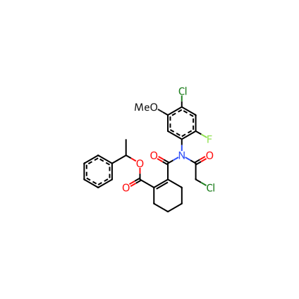 COc1cc(N(C(=O)CCl)C(=O)C2=C(C(=O)OC(C)c3ccccc3)CCCC2)c(F)cc1Cl